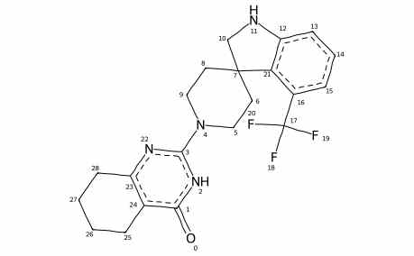 O=c1[nH]c(N2CCC3(CC2)CNc2cccc(C(F)(F)F)c23)nc2c1CCCC2